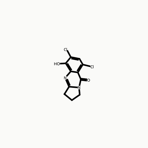 O=c1c2c(Cl)cc(Cl)c(O)c2nc2n1CCC2